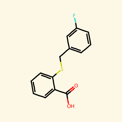 O=C(O)c1ccccc1SCc1cccc(F)c1